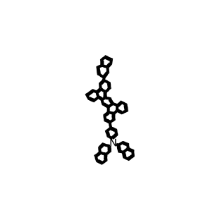 c1ccc2cc(-c3ccc4c(c3)c3ccccc3c3cc5c6ccc(-c7ccc(N(c8ccc9ccccc9c8)c8ccc9ccccc9c8)cc7)cc6c6ccccc6c5cc43)ccc2c1